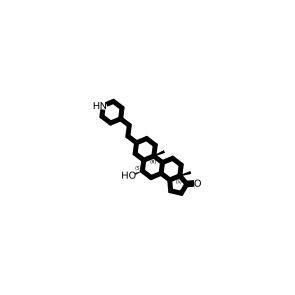 C[C@]12CCC(CCC3CCNCC3)CC1[C@@H](O)CC1C2CC[C@]2(C)C(=O)CCC12